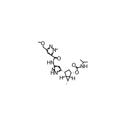 COCc1cc(C(=O)Nc2cc([C@@H]3C[C@H](OC(=O)NC(C)C)[C@@H]4[C@H](C)[C@@H]43)[nH]n2)n(C)n1